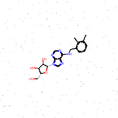 Cc1cccc(CNc2ncnc3c2ncn3[C@@H]2O[C@H](CO)[C@@H](O)[C@H]2O)c1C